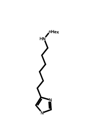 CCCCCCNCCCCCCC1=C[N]C=N1